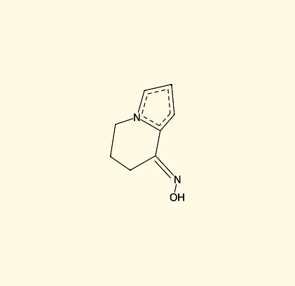 ON=C1CCCn2cccc21